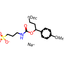 CCCCCCCCCCCCC(OC(=O)NCCCS(=O)(=O)[O-])c1ccc(OC)cc1.[Na+]